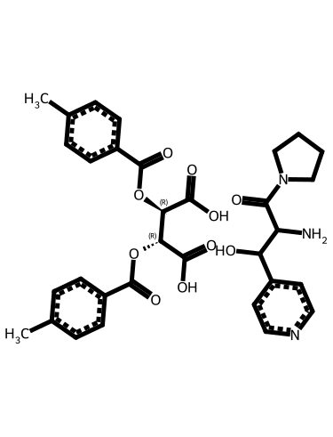 Cc1ccc(C(=O)O[C@@H](C(=O)O)[C@@H](OC(=O)c2ccc(C)cc2)C(=O)O)cc1.NC(C(=O)N1CCCC1)C(O)c1ccncc1